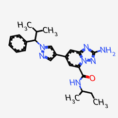 CCC(C)NC(=O)c1cc(-c2cnn(C(c3ccccc3)C(C)C)c2)cc2nc(N)nn12